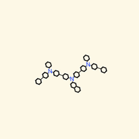 c1ccc(-c2ccc(N(c3ccccc3)c3ccc(-c4ccc(N(c5ccc(-c6ccc(N(c7ccccc7)c7ccc(-c8ccccc8)cc7)cc6)cc5)c5ccc6ccccc6c5)cc4)cc3)cc2)cc1